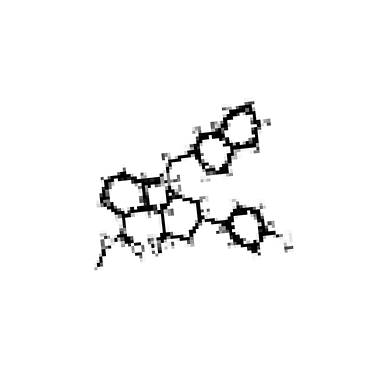 COC(=O)c1cccc2c1c1c(n2Cc2ccc3ccccc3c2)CC(c2ccc(Cl)cc2)CC1=O